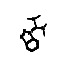 CN(C)C(N(C)C)=[N+]1N=Nc2ccccc21